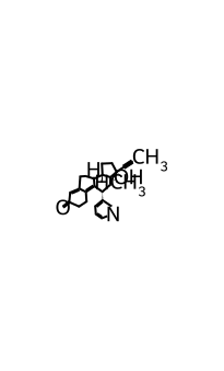 CC#C[C@]1(O)CC[C@H]2[C@@H]3CCC4=CC(=O)CCC4=C3[C@@H](c3cccnc3)C[C@@]21C